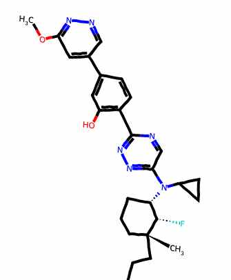 CCC[C@]1(C)CCC[C@H](N(c2cnc(-c3ccc(-c4cnnc(OC)c4)cc3O)nn2)C2CC2)[C@@H]1F